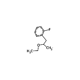 [CH2]C(Cc1ccccc1F)OCC